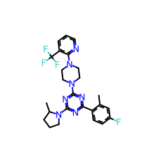 Cc1cc(F)ccc1-c1nc(N2CCN(c3ncccc3C(F)(F)F)CC2)nc(N2CCCC2C)n1